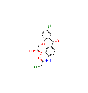 O=C(O)COc1ccc(Cl)cc1C(=O)c1ccc(NC(=O)CCl)cc1